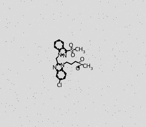 CS(=O)(=O)CCCn1c(Cn2nc(S(C)(=O)=O)c3ccccc32)nc2cc(Cl)ccc21